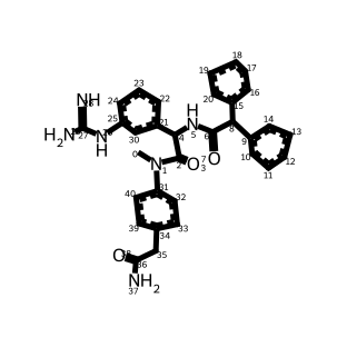 CN(C(=O)C(NC(=O)C(c1ccccc1)c1ccccc1)c1cccc(NC(=N)N)c1)c1ccc(CC(N)=O)cc1